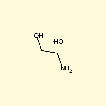 NCCO.[OH]